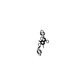 Cc1c(OCCN2CCN(C)CC2)c(I)cc2c(=O)cc(N3CCOCC3)oc12